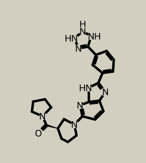 O=C([C@@H]1CCCN(c2ccc3nc(-c4cccc(C5=NNNN5)c4)[nH]c3n2)C1)N1CCCC1